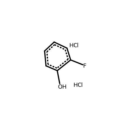 Cl.Cl.Oc1ccccc1F